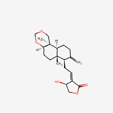 C=C1CC[C@@H]2[C@]3(C)COCO[C@@H]3CC[C@@]2(C)[C@@H]1C/C=C1/C(=O)OC[C@H]1O